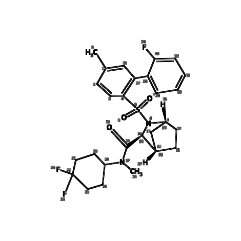 Cc1ccc(S(=O)(=O)N2[C@@H]3CC[C@@H](C3)[C@H]2C(=O)N(C)C2CCC(F)(F)CC2)c(-c2ccccc2F)c1